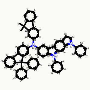 CC1(C)c2ccccc2-c2ccc(N(c3ccc4c(c3)C(c3ccccc3)(c3ccccc3)c3ccccc3-4)c3ccc4c(c3)c3cc5ccn(-c6ccccc6)c5cc3n4-c3ccccc3)cc21